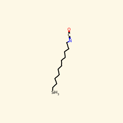 O=C=NCCCCCCCCCCC[SiH3]